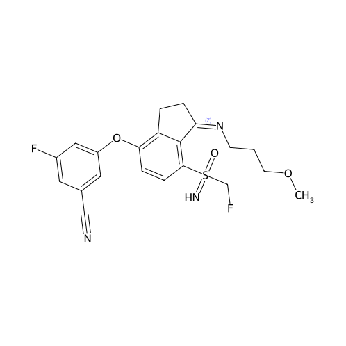 COCCC/N=C1/CCc2c(Oc3cc(F)cc(C#N)c3)ccc(S(=N)(=O)CF)c21